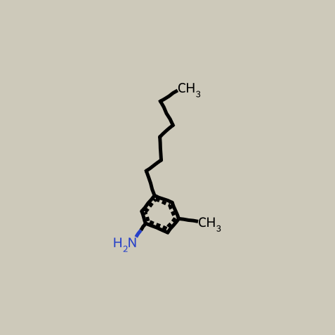 CCCCCCc1cc(C)cc(N)c1